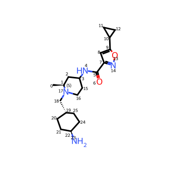 C[C@H]1CC(NC(=O)c2cc(C3CC3)on2)CCN1C[C@H]1CC[C@H](N)CC1